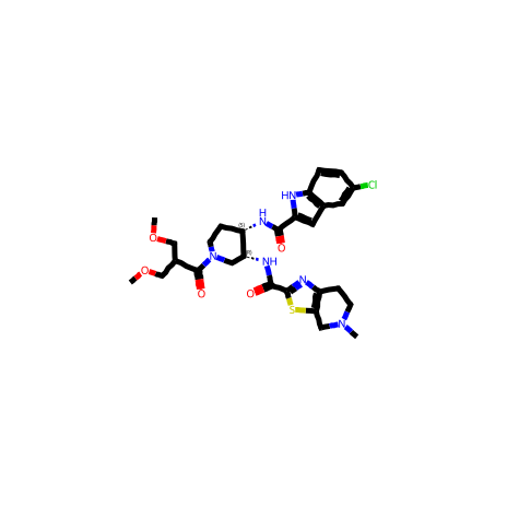 COCC(COC)C(=O)N1CC[C@H](NC(=O)c2cc3cc(Cl)ccc3[nH]2)[C@H](NC(=O)c2nc3c(s2)CN(C)CC3)C1